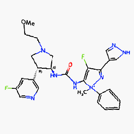 COCCN1C[C@@H](NC(=O)NC2=C(F)C(c3cn[nH]c3)=N[N+]2(C)c2ccccc2)[C@H](c2cncc(F)c2)C1